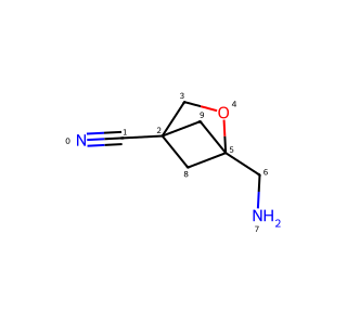 N#CC12COC(CN)(C1)C2